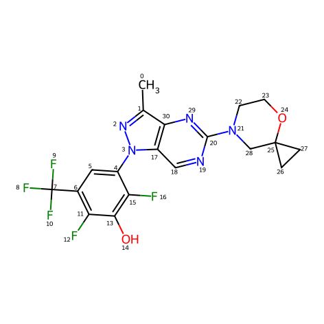 Cc1nn(-c2cc(C(F)(F)F)c(F)c(O)c2F)c2cnc(N3CCOC4(CC4)C3)nc12